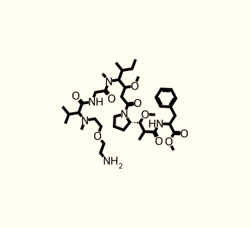 CCC(C)C(C(CC(=O)N1CCC[C@H]1C(OC)C(C)C(=O)NC(Cc1ccccc1)C(=O)OC)OC)N(C)C(=O)CNC(=O)C(C(C)C)N(C)CCOCCN